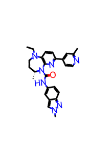 CCN1CC[C@@H](C)N(C(=O)Nc2ccc3nn(C)cc3c2)c2nc(-c3ccnc(C)c3)ccc21